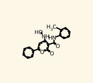 Cc1ccccc1NC(=O)c1c(NO)cc(-c2ccccc2)oc1=O